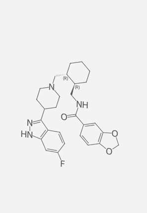 O=C(NC[C@@H]1CCCC[C@H]1CN1CCC(c2n[nH]c3cc(F)ccc23)CC1)c1ccc2c(c1)OCO2